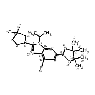 CC(C)n1c(N2CCC(F)(F)C2)nc2c(F)cc(B3OC(C)(C)C(C)(C)O3)cc21